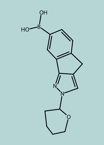 OB(O)c1ccc2c(c1)-c1nn(C3CCCCO3)cc1C2